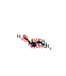 CCCCC(C)(C)[C@H](O)/C=C/[C@@H]1[C@H]2[C@H](F)C(C(I)CCCC(=O)OC)O[C@@H]2C[C@H]1O